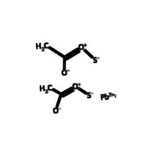 CC([O-])=[O+][S-].CC([O-])=[O+][S-].[Pb+2]